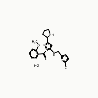 COc1ccccc1C(=O)n1nc(C2CCCN2)cc1NCc1ccc(Cl)s1.Cl